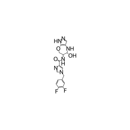 O=C(N[C@H]1COc2[nH]ncc2NC1O)c1cn(Cc2ccc(F)c(F)c2)cn1